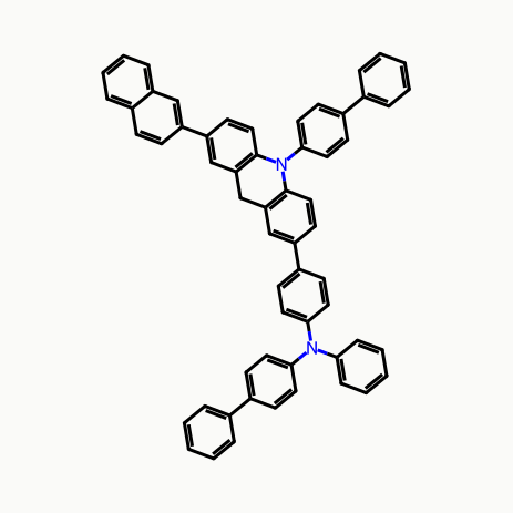 c1ccc(-c2ccc(N(c3ccccc3)c3ccc(-c4ccc5c(c4)Cc4cc(-c6ccc7ccccc7c6)ccc4N5c4ccc(-c5ccccc5)cc4)cc3)cc2)cc1